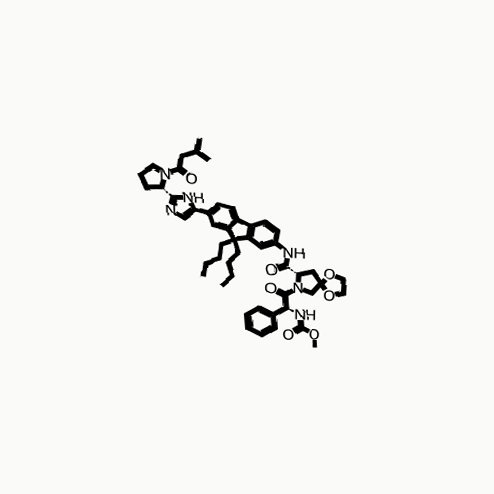 CCCCC1(CCCC)c2cc(NC(=O)[C@@H]3CC4(CN3C(=O)[C@H](NC(=O)OC)c3ccccc3)OCCO4)ccc2-c2ccc(-c3cnc([C@@H]4CCCN4C(=O)CC(C)C)[nH]3)cc21